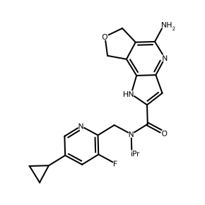 CC(C)N(Cc1ncc(C2CC2)cc1F)C(=O)c1cc2nc(N)c3c(c2[nH]1)COC3